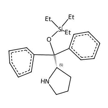 CC[Si](CC)(CC)OC(c1ccccc1)(c1ccccc1)[C@@H]1CCCN1